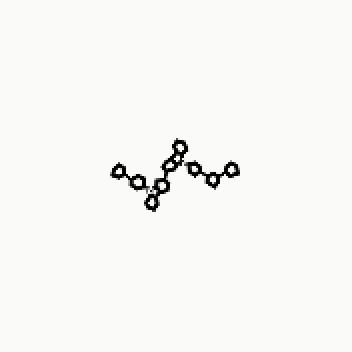 c1ccc(-c2ccc(-n3c4ccccc4c4ccc(-c5ccc6c7ccccc7n(-c7ccc(-c8cccc(-c9ccccc9)c8)cc7)c6c5)cc43)cc2)cc1